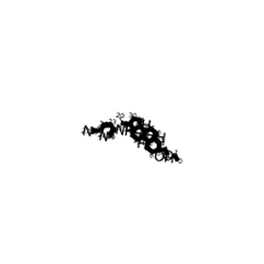 CCOC[C@@]1(O)CC[C@H]2[C@H](CC[C@@H]3[C@@H]2CC[C@]2(C)C([C@@H](C)Nc4ccc(C#N)nc4)CC[C@@H]32)C1